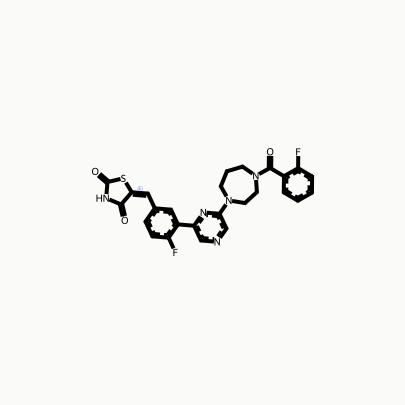 O=C1NC(=O)/C(=C\c2ccc(F)c(-c3cncc(N4CCCN(C(=O)c5ccccc5F)CC4)n3)c2)S1